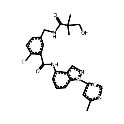 Cc1cc(-n2ncc3c(NC(=O)c4cc(CNC(=O)C(C)(C)CO)ccc4Cl)cccc32)ccn1